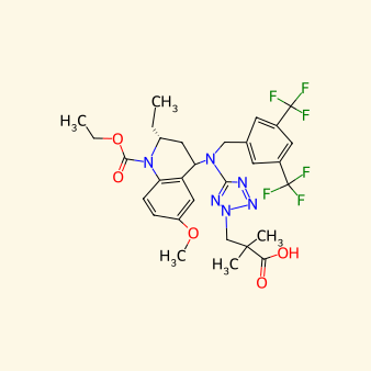 CCOC(=O)N1c2ccc(OC)cc2C(N(Cc2cc(C(F)(F)F)cc(C(F)(F)F)c2)c2nnn(CC(C)(C)C(=O)O)n2)C[C@H]1CC